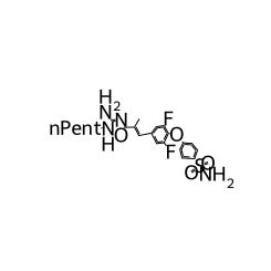 CCCCCN/C(N)=N\C(=O)/C(C)=C/c1cc(F)c(Oc2ccc(S(N)(=O)=O)cc2)c(F)c1